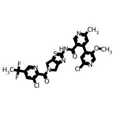 COc1cnc(Cl)cc1-c1cc(C)ncc1C(=O)Nc1nc2c(s1)CN(C(=O)c1ncc(C(C)(F)F)cc1Cl)C2